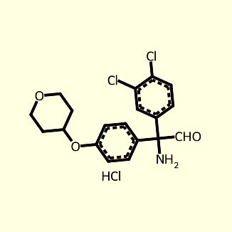 Cl.NC(C=O)(c1ccc(OC2CCOCC2)cc1)c1ccc(Cl)c(Cl)c1